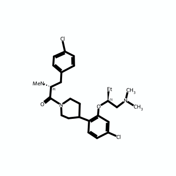 CC[C@@H](CN(C)C)Oc1cc(Cl)ccc1C1CCN(C(=O)[C@@H](Cc2ccc(Cl)cc2)NC)CC1